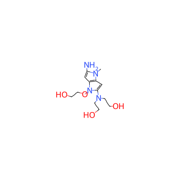 Cn1c(N)cc2c1cc(N(CCO)CCO)n2OCCO